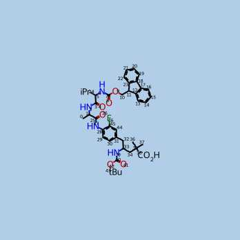 CC(NC(=O)C(NC(=O)OCC1c2ccccc2-c2ccccc21)C(C)C)C(=O)Nc1ccc(CC(CC(C)(C)C(=O)O)NC(=O)OC(C)(C)C)cc1F